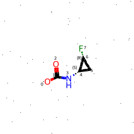 [O]C(=O)N[C@H]1C[C@H]1F